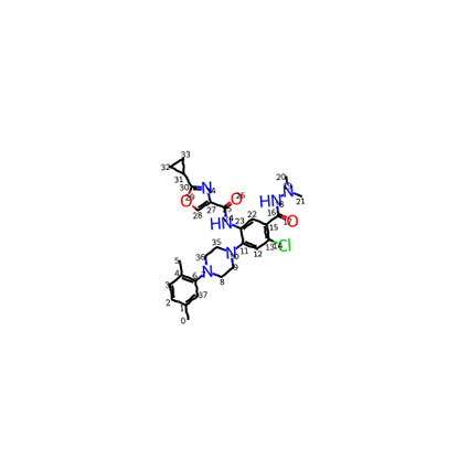 Cc1ccc(C)c(N2CCN(c3cc(Cl)c(C(=O)NN(C)C)cc3NC(=O)c3coc(C4CC4)n3)CC2)c1